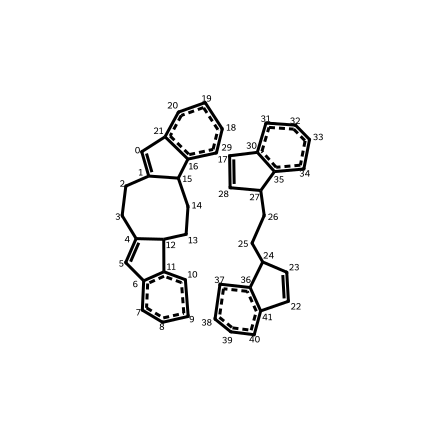 C1=C2CCC3=Cc4ccccc4C3CCC2c2ccccc21.C1=CC(CCC2C=Cc3ccccc32)c2ccccc21